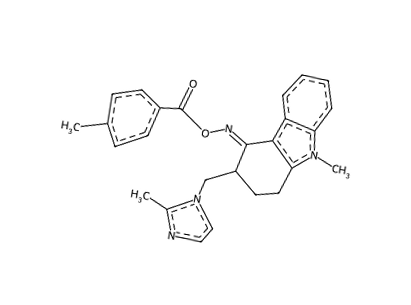 Cc1ccc(C(=O)ON=C2c3c(n(C)c4ccccc34)CCC2Cn2ccnc2C)cc1